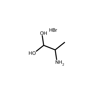 Br.CC(N)C(O)O